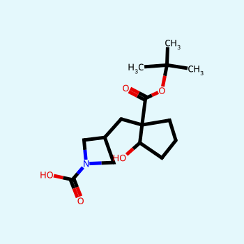 CC(C)(C)OC(=O)C1(CC2CN(C(=O)O)C2)CCCC1O